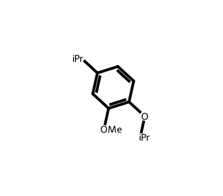 [CH2]C(C)c1ccc(OC(C)C)c(OC)c1